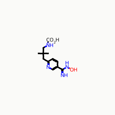 CC(C)(CNC(=O)O)Cc1ccc(C(=N)NO)cn1